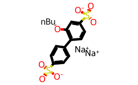 CCCCOc1cc(S(=O)(=O)[O-])ccc1-c1ccc(S(=O)(=O)[O-])cc1.[Na+].[Na+]